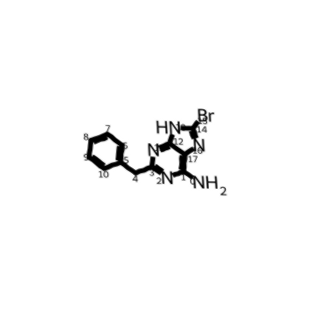 Nc1nc(Cc2ccccc2)nc2[nH]c(Br)nc12